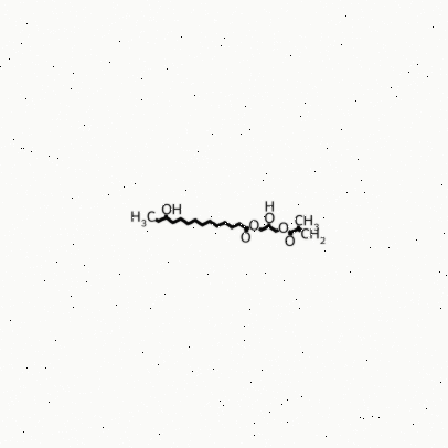 C=C(C)C(=O)OCC(O)COC(=O)CCCCCCCCCCC(O)CC